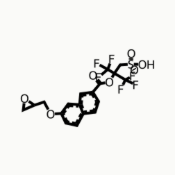 O=C(OC(CS(=O)(=O)O)(C(F)(F)F)C(F)(F)F)c1ccc2ccc(OCC3CO3)cc2c1